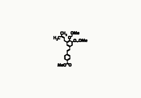 COCOc1cc(/C=C/c2ccc(C(=O)OC)cc2)cc(CC=C(C)C)c1OCOC